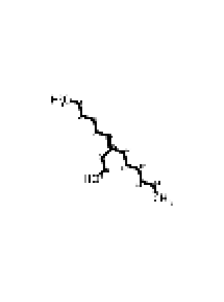 CCCCCC=C(CCO)CCCCCC